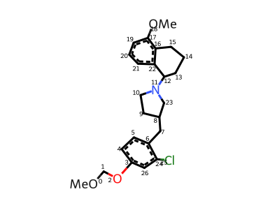 COCOc1ccc(CC2CCN(C3CCCc4c(OC)cccc43)C2)c(Cl)c1